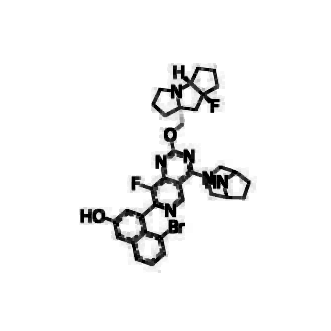 Oc1cc(-c2ncc3c(N4CC5CCC(C4)N5)nc(OC[C@]45CCCN4[C@@H]4CCC[C@]4(F)C5)nc3c2F)c2c(Br)cccc2c1